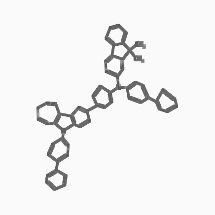 CC1(C)c2ccccc2-c2ccc(N(c3ccc(-c4ccccc4)cc3)c3ccc(-c4ccc5c(c4)c4c(n5-c5ccc(-c6ccccc6)cc5)C=CCC=C4)cc3)cc21